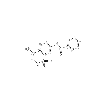 CN1CNS(=O)(=O)c2cc(OC(=O)c3ccccc3)ccc21